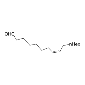 CCCCCCC/C=C\CCCCCCC=O